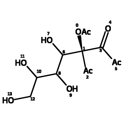 CC(=O)O[C@](C(C)=O)(C(=O)C(C)=O)C(O)C(O)C(O)CO